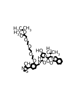 Cc1ncsc1-c1ccc(CNC(=O)[C@@H]2C[C@@H](O)CN2C(=O)[C@H](C(C)C)N2Cc3ccccc3C2=O)c(OCCOCCOCCOCC(=O)OC(C)(C)C)c1